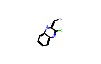 N#C/C=C1/Nc2ccccc2N=C1Cl